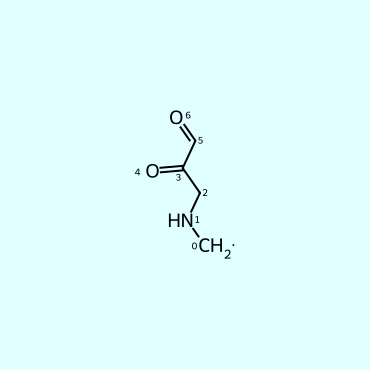 [CH2]NCC(=O)C=O